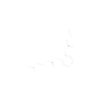 CCCCC(=O)Oc1ccccc1OC(=O)CCCC(C)C